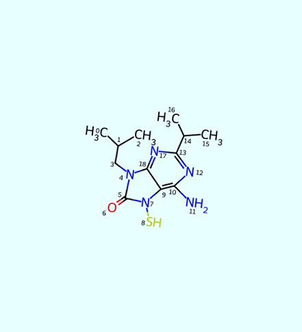 CC(C)Cn1c(=O)n(S)c2c(N)nc(C(C)C)nc21